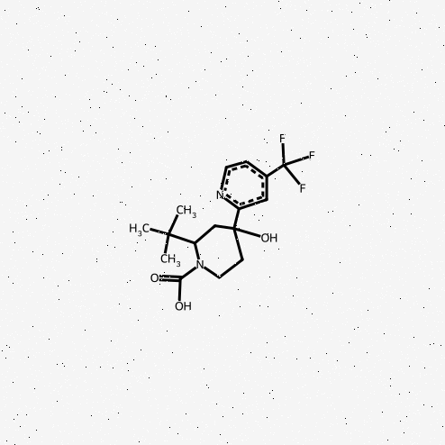 CC(C)(C)C1CC(O)(c2cc(C(F)(F)F)ccn2)CCN1C(=O)O